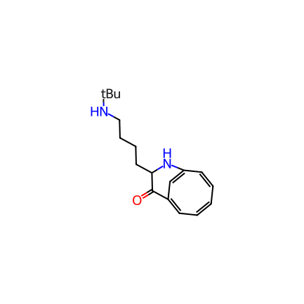 CC(C)(C)NCCCCC1NC2=CC(=C/C=C\C=C/2)\C1=O